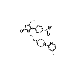 CCc1cc(=O)n(CCCN2CCN(c3cc(C)ccn3)CC2)n1-c1ccc([N+](=O)[O-])cc1